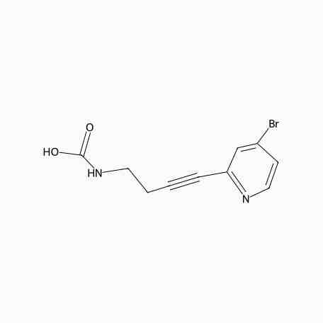 O=C(O)NCCC#Cc1cc(Br)ccn1